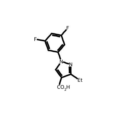 CCc1nn(-c2cc(F)cc(F)c2)cc1C(=O)O